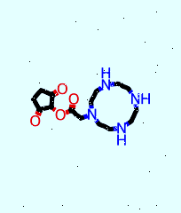 O=C(CN1CCNCCNCCNCC1)OC1C(=O)CCC1=O